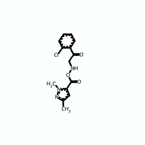 Cc1cc(C(=O)ONCC(=O)c2ccccc2Cl)n(C)n1